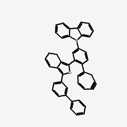 C1#CCC(c2ccc(-n3c4ccccc4c4ccccc43)cc2-c2oc(-c3cccc(-c4ccccc4)c3)c3c2CCC=C3)=CC=C1